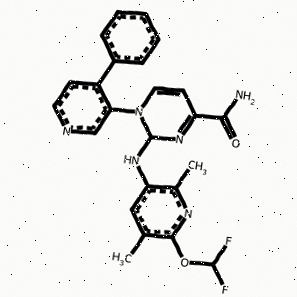 Cc1cc(NC2N=C(C(N)=O)C=CN2c2cnccc2-c2ccccc2)c(C)nc1OC(F)F